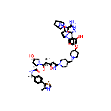 Cc1ncsc1-c1ccc([C@H](C)NC(=O)[C@@H]2C[C@@H](O)CN2C(=O)[C@@H](c2cc(N3CCC(CN4CCC(O[C@H]5C[C@H](n6ccc(CN7C8CCC7CN(c7cc(-c9ccccc9O)nnc7N)C8)n6)C5)CC4)CC3)no2)C(C)C)cc1